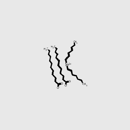 CCCCCCCCCCCC(=O)[O-].CCCCCCCCCCCC(=O)[O-].CCCCCC[CH2][Sn+2][CH2]CCCCCC